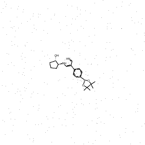 CC1(C)OB(c2ccc(/C(C=N)=C/N[C@H]3CCC[C@@H]3O)cc2)OC1(C)C